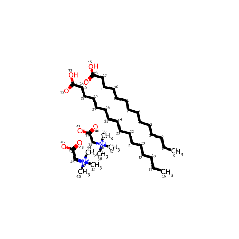 CCCCCCCCCCCCCC(=O)O.CCCCCCCCCCCCCCCC(=O)O.C[N+](C)(C)CC(=O)[O-].C[N+](C)(C)CC(=O)[O-]